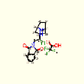 O=C(O)C(F)(F)F.O=C1c2ccccc2C(=O)N1CC(Cl)=C1CC2CCC(C1)N2